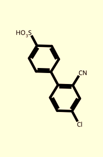 N#Cc1cc(Cl)ccc1-c1ccc(S(=O)(=O)O)cc1